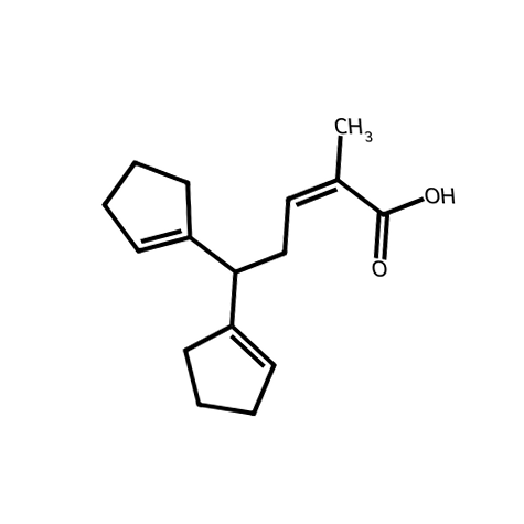 CC(=CCC(C1=CCCC1)C1=CCCC1)C(=O)O